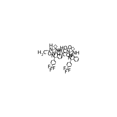 C=CC(=O)NCC1(Nc2nnc(-c3ccc(C(F)(F)F)cc3)c3ccccc23)CCC1.CC(C)(C)N(CC1(Nc2nnc(-c3ccc(C(F)(F)F)cc3)c3ccccc23)CCC1)C(=O)O